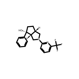 O[C@]1(c2ccccc2)CC[C@@H]2CN(c3cccc(C(F)(F)F)n3)C[C@@H]21